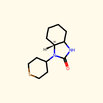 O=C1NC2CCCC[C@H]2N1C1CCSCC1